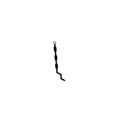 CCCCC#CC#CC#C[O]